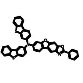 c1ccc(-c2nc3cc4c(cc3o2)oc2cc(N(c3ccc5c(c3)sc3ccccc35)c3ccc5sc6ccccc6c5c3)ccc24)cc1